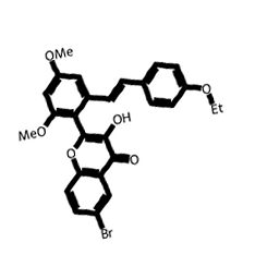 CCOc1ccc(/C=C/c2cc(OC)cc(OC)c2-c2oc3ccc(Br)cc3c(=O)c2O)cc1